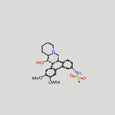 COc1cc2c3c(c4ccc(NS(C)(=O)=O)cc4c2cc1OC)CN1CCCCC1C3O